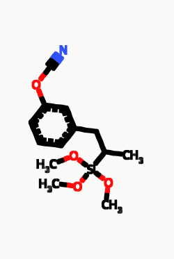 CO[Si](OC)(OC)C(C)Cc1cccc(OC#N)c1